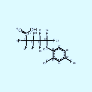 O=S(O)C(F)(F)C(F)(F)C(F)(F)C(F)(F)Sc1ccc(F)cc1F